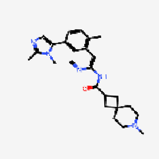 C=N/C(=C\c1cc(-c2cnc(C)n2C)ccc1C)NC(=O)C1CC2(CCN(C)CC2)C1